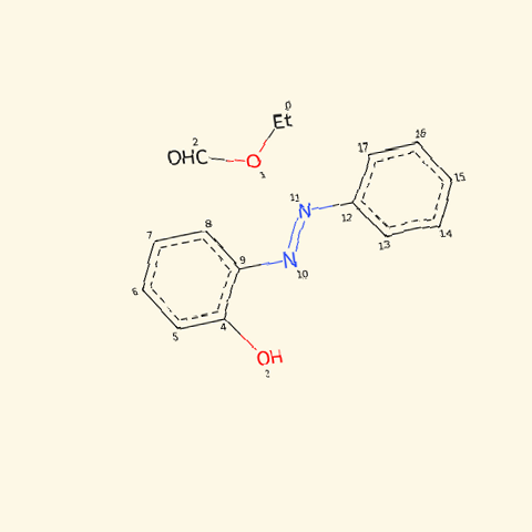 CCOC=O.Oc1ccccc1N=Nc1ccccc1